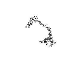 Cn1c(=O)n(C2CCC(=O)NC2=O)c2ccc(C#CCOCCN3CCC(N4CCN(Cc5ccc(-c6cn([C@H]7CC[C@H](O)CC7)c7nc(NCCC(F)(F)F)ncc67)cc5)CC4)C3)cc21